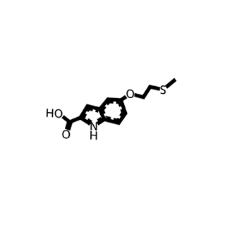 CSCCOc1ccc2[nH]c(C(=O)O)cc2c1